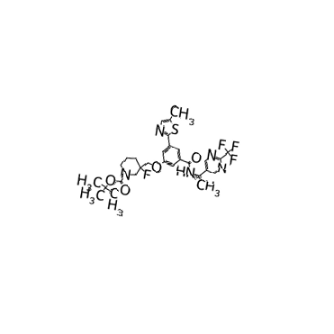 Cc1cnc(-c2cc(OCC3(F)CCCN(C(=O)OC(C)(C)C)C3)cc(C(=O)N[C@H](C)c3cnc(C(F)(F)F)nc3)c2)s1